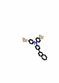 Brc1ccc(N(c2ccc(Br)cc2)c2ccc(-c3ccc4c(c3)C=CCC=C4)cc2)cc1